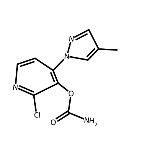 Cc1cnn(-c2ccnc(Cl)c2OC(N)=O)c1